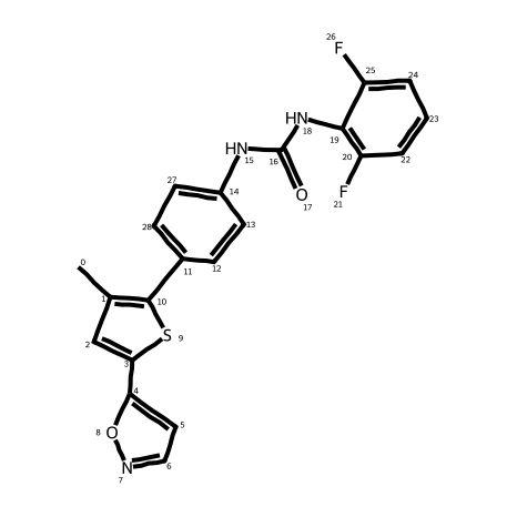 Cc1cc(-c2ccno2)sc1-c1ccc(NC(=O)Nc2c(F)cccc2F)cc1